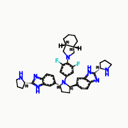 Fc1cc(N2[C@@H](c3ccc4nc([C@@H]5CCCN5)[nH]c4c3)CC[C@@H]2c2ccc3nc([C@@H]4CCCN4)[nH]c3c2)cc(F)c1N1C[C@H]2CCCC[C@H]2C1